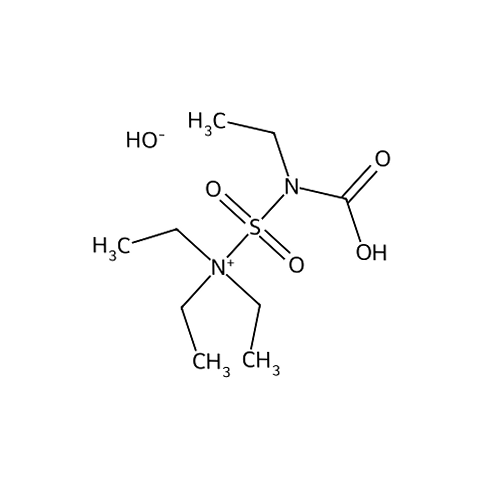 CCN(C(=O)O)S(=O)(=O)[N+](CC)(CC)CC.[OH-]